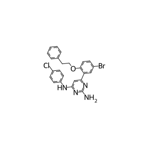 Nc1nc(Nc2ccc(Cl)cc2)cc(-c2cc(Br)ccc2OCCc2ccccc2)n1